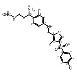 Cc1cc(NCc2scc(S(=O)(=O)c3ccc(Cl)cc3)c2C)ccc1C(N)CCOC=O